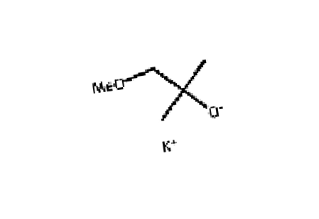 COCC(C)(C)[O-].[K+]